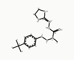 CN(SSc1ccc(C(C)(C)C)cc1)C(=O)ON=C1SCCS1